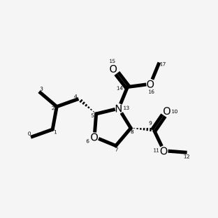 CCC(C)C[C@H]1OC[C@@H](C(=O)OC)N1C(=O)OC